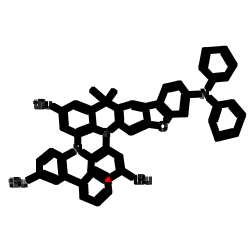 CC(C)(C)c1ccc2c(c1)B1c3cc4oc5cc(N(c6ccccc6)c6ccccc6)ccc5c4cc3C(C)(C)c3cc(C(C)(C)C)cc(c31)N2c1ccc(C(C)(C)C)cc1-c1ccccc1